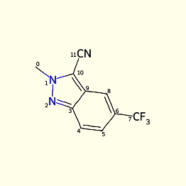 Cn1nc2ccc(C(F)(F)F)cc2c1C#N